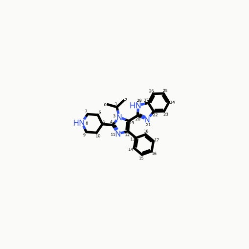 CC(C)n1c(C2CCNCC2)nc(-c2ccccc2)c1-c1nc2ccccc2[nH]1